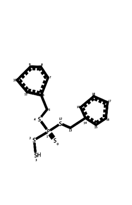 S=P(SS)(SCc1ccccc1)SCc1ccccc1